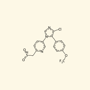 O=[SH](=O)Cc1ccc(-n2cnc(Cl)c2-c2ccc(OC(F)(F)F)cc2)cn1